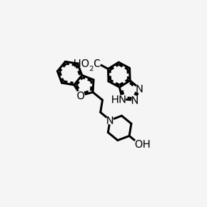 O=C(O)c1ccc2nn[nH]c2c1.OC1CCN(CCc2cc3ccccc3o2)CC1